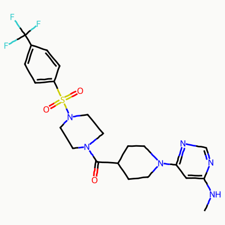 CNc1cc(N2CCC(C(=O)N3CCN(S(=O)(=O)c4ccc(C(F)(F)F)cc4)CC3)CC2)ncn1